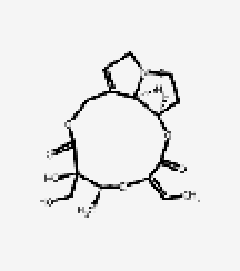 C/C=C1/C[C@@H](C)[C@](O)(CO)C(=O)OCC2=CC[N+]3([O-])CC[C@@H](OC1=O)[C@@H]23